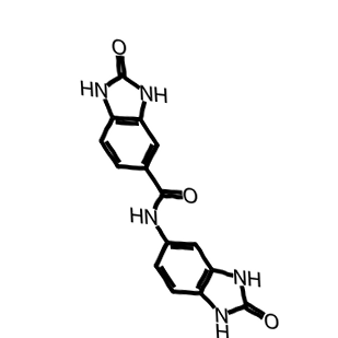 O=C(Nc1ccc2[nH]c(=O)[nH]c2c1)c1ccc2[nH]c(=O)[nH]c2c1